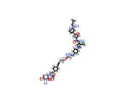 O=C1CCC(N2C[C@H](c3ccc(C#CCCOCCCNCc4ccc(-n5cc(NC(=O)c6coc(-c7ccnc(NCC8CC8)c7)n6)c(C(F)F)n5)cc4)cc3)OC2=O)C(=O)N1